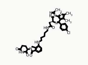 Cc1sc2c(c1C)C(c1ccc(Cl)cc1)=N[C@@H](CC(=O)NCCCCCNc1cccc3c1CN(C1CCC(=O)NC1=O)C3=O)c1nnc(C)n1-2